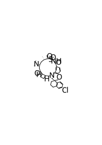 C[C@@H]1[C@@H](C)C[C@@H](N(C)C)CC(=O)[C@@H]2CC[C@H]2CN2C[C@@]3(CCCc4cc(Cl)ccc43)COc3ccc(cc32)C(=O)NS1(=O)=O